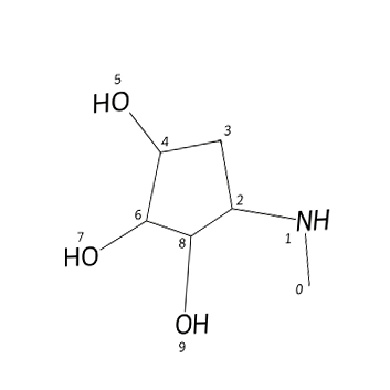 CNC1CC(O)C(O)C1O